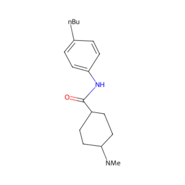 CCCCc1ccc(NC(=O)C2CCC(NC)CC2)cc1